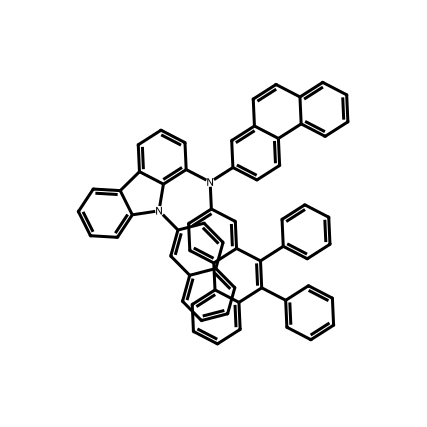 c1ccc(-c2c(-c3ccccc3)c3cc(N(c4ccc5c(ccc6ccccc65)c4)c4cccc5c6ccccc6n(-c6ccc7ccccc7c6)c45)ccc3c3ccccc23)cc1